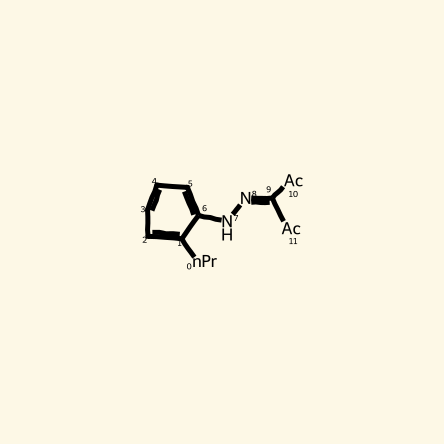 CCCc1ccccc1NN=C(C(C)=O)C(C)=O